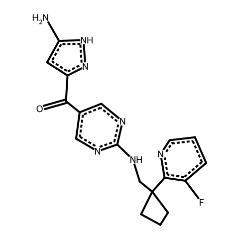 Nc1cc(C(=O)c2cnc(NCC3(c4ncccc4F)CCC3)nc2)n[nH]1